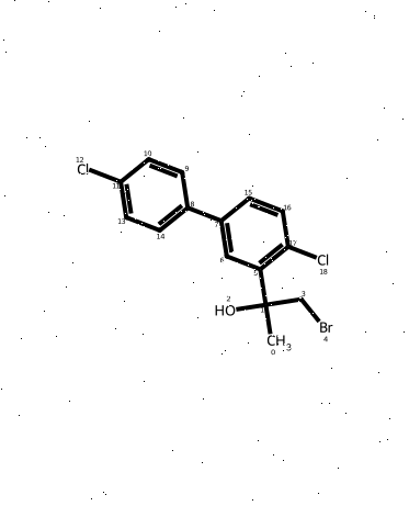 CC(O)(CBr)c1cc(-c2ccc(Cl)cc2)ccc1Cl